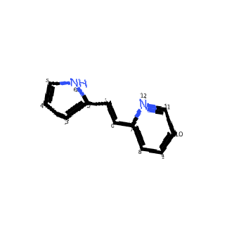 C(=C\c1ccc[nH]1)/c1ccccn1